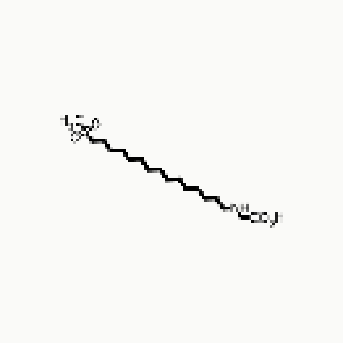 CS(=O)(=O)CCCCCCCCCCCCCCCNCC(=O)O